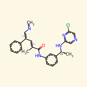 C=N/C=C(\C=C(/C)C(=O)Nc1cccc([C@H](C)Nc2cncc(Cl)n2)c1)c1ccccc1